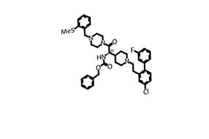 CSc1ccccc1CN1CCN(C(=O)[C@H](NC(=O)OCc2ccccc2)C2CCN(CCc3cc(Cl)ccc3-c3cccc(F)c3)CC2)CC1